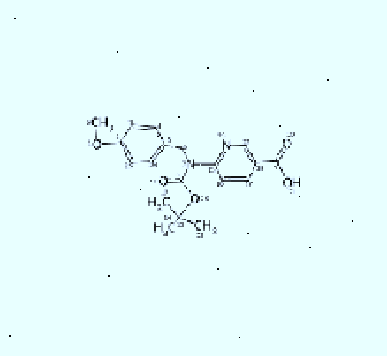 COc1ccc(CN(C(=O)OC(C)(C)C)c2ccc(C(=O)O)cn2)cc1